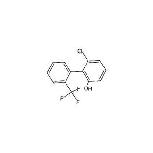 Oc1cccc(Cl)c1-c1ccccc1C(F)(F)F